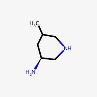 CC1CNC[C@@H](N)C1